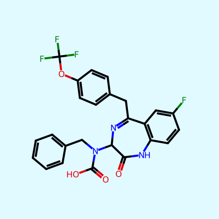 O=C1Nc2ccc(F)cc2C(Cc2ccc(OC(F)(F)F)cc2)=NC1N(Cc1ccccc1)C(=O)O